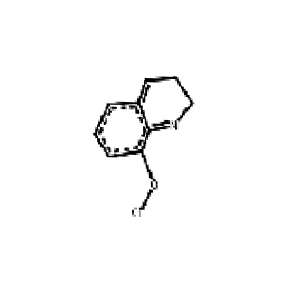 ClOc1cccc2c1=NCCC=2